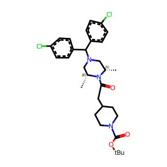 C[C@@H]1CN(C(c2ccc(Cl)cc2)c2ccc(Cl)cc2)C[C@H](C)N1C(=O)CC1CCN(C(=O)OC(C)(C)C)CC1